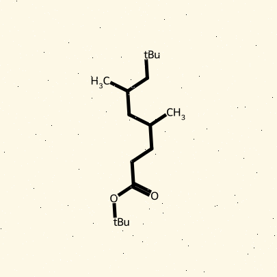 CC(CCC(=O)OC(C)(C)C)CC(C)CC(C)(C)C